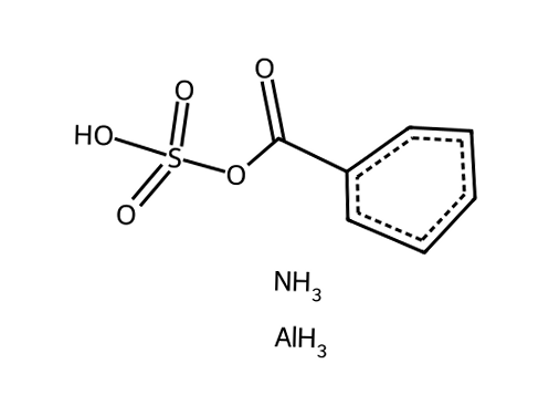 N.O=C(OS(=O)(=O)O)c1ccccc1.[AlH3]